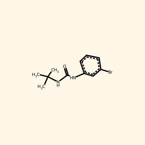 CC(C)(C)NC(=O)Nc1cccc(Br)c1